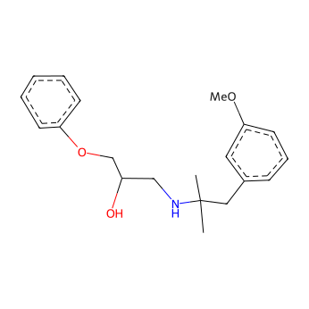 COc1cccc(CC(C)(C)NCC(O)COc2ccccc2)c1